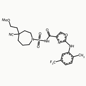 COCCC1(C#N)CCCN(S(=O)(=O)NC(=O)c2coc(Nc3cc(C(F)(F)F)ccc3C)n2)CC1